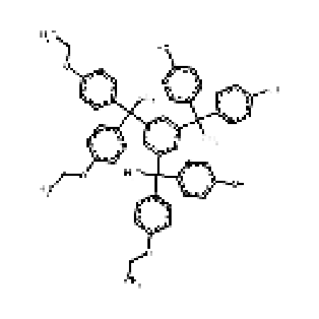 CCOc1ccc(C(C)(c2ccc(O)cc2)c2cc(C(C)(c3ccc(O)cc3)c3ccc(O)cc3)cc(C(C)(c3ccc(OCC)cc3)c3ccc(OCC)cc3)c2)cc1